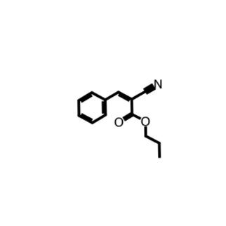 CCCOC(=O)C(C#N)=Cc1ccccc1